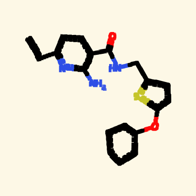 C=Cc1ccc(C(=O)NCc2ccc(Oc3ccccc3)s2)c(N)n1